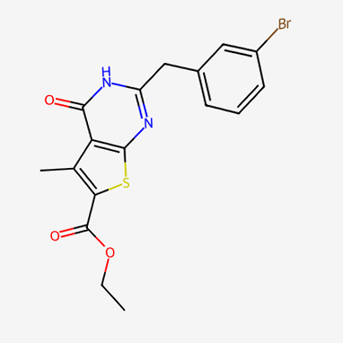 CCOC(=O)c1sc2nc(Cc3cccc(Br)c3)[nH]c(=O)c2c1C